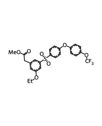 CCOc1cc(CC(=O)OC)cc(S(=O)(=O)c2ccc(Oc3ccc(OC(F)(F)F)cc3)cc2)c1